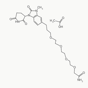 CC(=O)O.Cn1c(=O)n(C2CCC(=O)NC2=O)c2ccc(CCCOCCOCCOCCOCC(N)=O)cc21